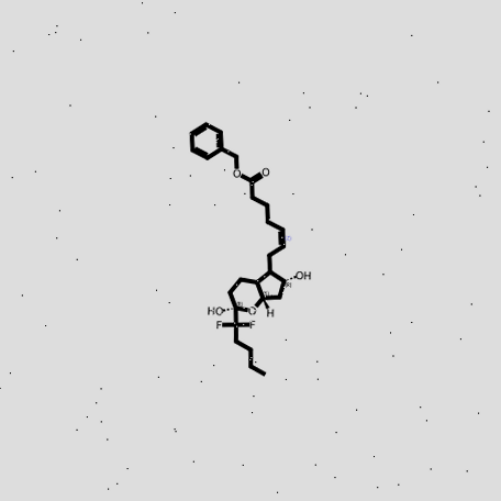 CCCCC(F)(F)[C@@]1(O)CCC2C(C/C=C\CCCC(=O)OCc3ccccc3)[C@H](O)C[C@@H]2O1